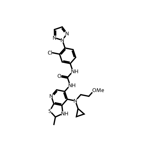 COCCN(c1c(NC(=O)Nc2ccc(-n3nccn3)c(Cl)c2)cnc2c1NC(C)S2)C1CC1